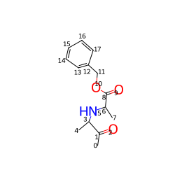 CC(=O)C(C)NC(C)C(=O)OCc1ccccc1